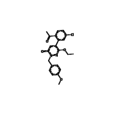 CCOc1nn(Cc2ccc(OC)cc2)c(=O)cc1-c1cc(Cl)ccc1C(C)=O